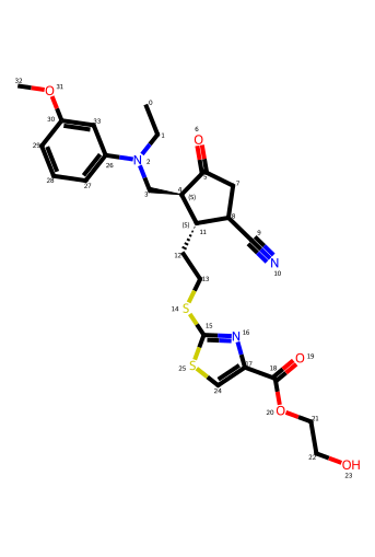 CCN(C[C@H]1C(=O)CC(C#N)[C@@H]1CCSc1nc(C(=O)OCCO)cs1)c1cccc(OC)c1